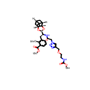 COc1c(C[C@H](NC(=O)Cn2cc(COCCNC(=O)OC(C)(C)C)nn2)B2O[C@@H]3C[C@@H]4C[C@@H](C4(C)C)[C@]3(C)O2)cccc1C(=O)OC(C)(C)C